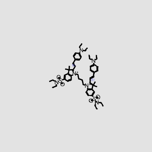 CCN(CC)c1ccc(/C=C/C2=[N+](CCCC[N+]3=C(/C=C/c4ccc(N(CC)CC)cc4)C(C)(C)c4cc(S(=O)(=O)N(CC)CC)ccc43)c3ccc(S(=O)(=O)N(CC)CC)cc3C2(C)C)cc1